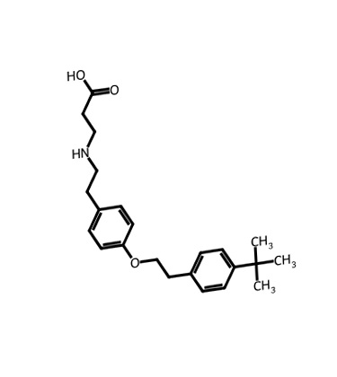 CC(C)(C)c1ccc(CCOc2ccc(CCNCCC(=O)O)cc2)cc1